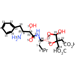 CC(C)C[C@H](NC(=O)[C@@H](O)[C@H](N)Cc1ccccc1)B1OC(O)C(CC(=O)O)(CC(=O)O)O1